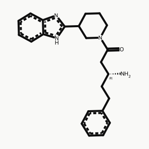 N[C@H](CCc1ccccc1)CC(=O)N1CCCC(c2nc3ccccc3[nH]2)C1